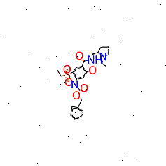 CCN1CCC[C@@H]1CNC(=O)c1cc(S(=O)(=O)CC)c(N(C)C(=O)OCc2ccccc2)cc1OC